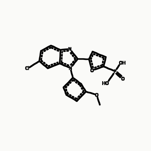 COc1cccc(-n2c(-c3ccc(P(=O)(O)O)o3)nc3ccc(Cl)cc32)c1